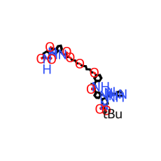 C[C@H](NC(=O)c1cccc(NC2(c3nnc(-c4ccncc4)[nH]3)CCN(C(=O)OC(C)(C)C)CC2)c1)c1cccc(OCCCCCOCCCOCC(=O)Nc2cccc3c2CN(C2CCC(=O)NC2=O)C3=O)c1